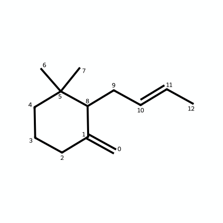 C=C1CCCC(C)(C)C1CC=CC